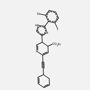 CCOC(=O)C1C=C(C#CC2C=CC=CC2)N=CC1c1c[nH]c(-c2c(F)cccc2Cl)n1